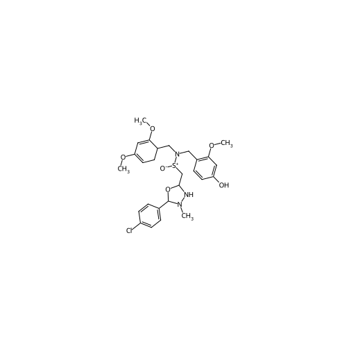 COC1=CCC(CN(Cc2ccc(O)cc2OC)[S+]([O-])CC2NN(C)C(c3ccc(Cl)cc3)O2)C(OC)=C1